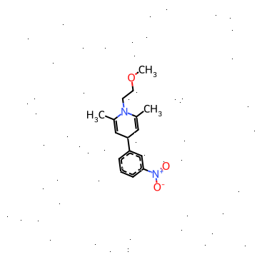 COCCN1C(C)=CC(c2cccc([N+](=O)[O-])c2)C=C1C